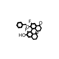 O=C1CCCc2c1cc(F)c(OCc1ccccc1)c2-c1c(F)c(O)cc2c1C(=O)CCC2